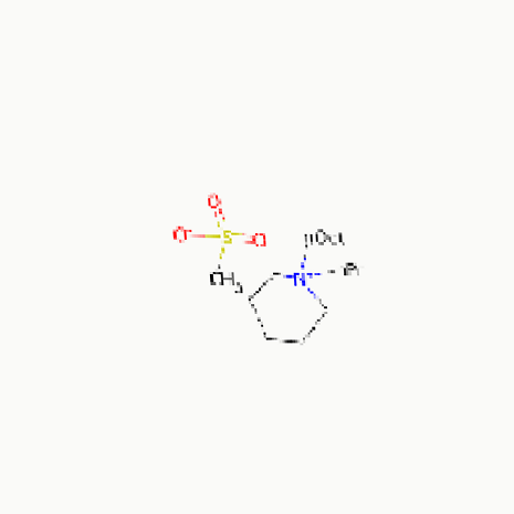 CCCCCCCC[N+]1(CCC)CCCCC1.CS(=O)(=O)[O-]